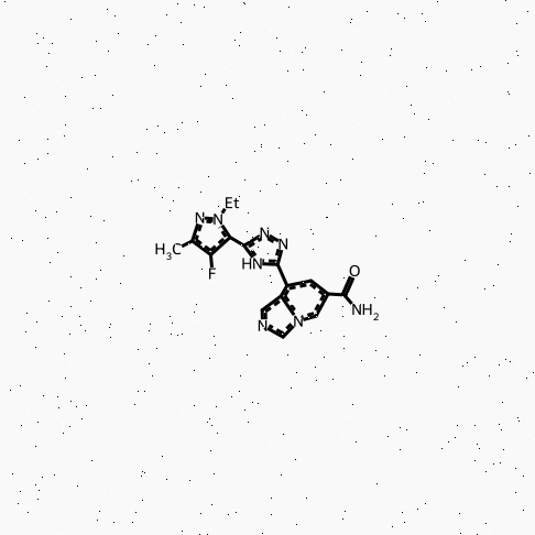 CCn1nc(C)c(F)c1-c1nnc(-c2cc(C(N)=O)cn3cncc23)[nH]1